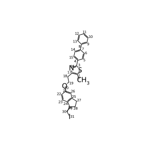 Cc1sc(-c2ccc(-c3ccccc3)cc2)nc1CCOc1ccc2c(c1)CC[C@H]2CI